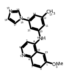 COc1ccc2nccc(Nc3cc(C)cc(-n4ccnc4)c3)c2c1